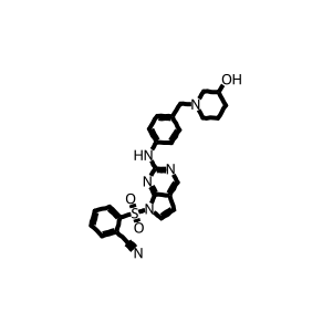 N#Cc1ccccc1S(=O)(=O)n1ccc2cnc(Nc3ccc(CN4CCCC(O)C4)cc3)nc21